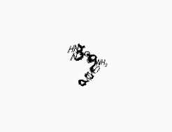 Cc1c[nH]c2nccc(Oc3ccc([C@@H](N)CC(=O)N4CCN(Cc5ccccc5)CC4)cc3)c12